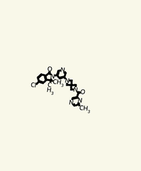 Cc1cncc(C(=O)N2CC3(C2)CN(c2cncc(N4C(=O)c5ccc(Cl)cc5C4(C)C)c2)C3)n1